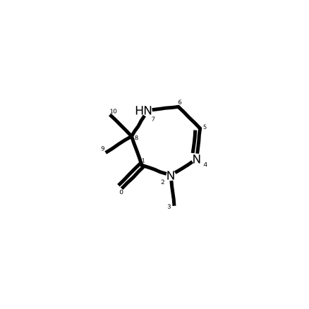 C=C1N(C)N=CCNC1(C)C